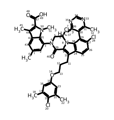 Cc1cc(N2C[C@@H](C)n3c(c(CCCOc4cc(C)c(Cl)c(C)c4)c4ccc(Cl)c(-c5c(C)ncnc5C)c43)C2=O)c2c(c1)c(C)c(C(=O)O)n2C